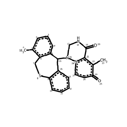 Cc1cccc2c1CSc1ccccc1C2N1CNC(=O)c2c(C)c(=O)ccn21